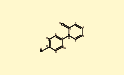 O=c1ccccn1-c1cnc(Br)cn1